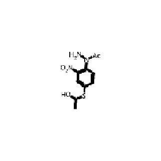 CC(=O)N(N)c1ccc(SC(C)O)cc1[N+](=O)[O-]